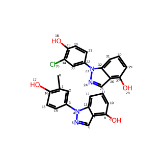 Cc1cc(-n2ncc3c(O)cccc32)ccc1O.Oc1ccc(-n2ncc3c(O)cccc32)cc1Cl